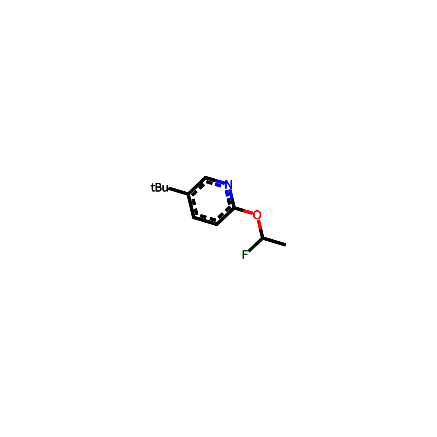 CC(F)Oc1ccc(C(C)(C)C)cn1